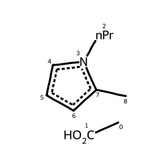 CC(=O)O.CCCn1cccc1C